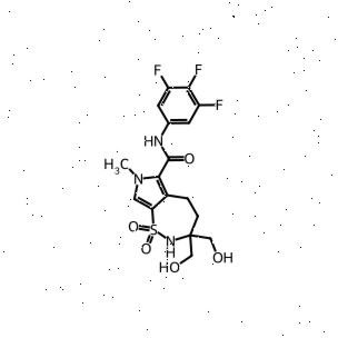 Cn1cc2c(c1C(=O)Nc1cc(F)c(F)c(F)c1)CCC(CO)(CO)NS2(=O)=O